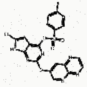 CCc1cc2c(OS(=O)(=O)c3ccc(C)cc3)nc(Sc3cnc4nccnc4c3)nc2[nH]1